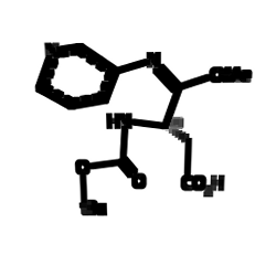 COC(=Nc1cccnc1)[C@H](CC(=O)O)NC(=O)OC(C)(C)C